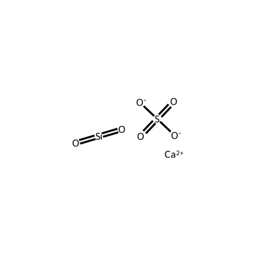 O=S(=O)([O-])[O-].O=[Si]=O.[Ca+2]